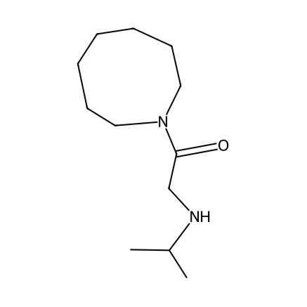 CC(C)NCC(=O)N1CCCCCCC1